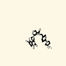 O=C1Nc2ccc(Cl)c(F)c2C2(CCN(c3cc(C(=O)NCc4ccc(N5CC[C@H](C(F)(F)F)C5)nc4)cnn3)C2)O1